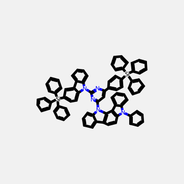 c1ccc(-n2c3ccccc3c3c2ccc2c4ccccc4n(-c4cc(-c5ccc([Si](c6ccccc6)(c6ccccc6)c6ccccc6)cc5)nc(-n5c6ccccc6c6cc([Si](c7ccccc7)(c7ccccc7)c7ccccc7)ccc65)n4)c23)cc1